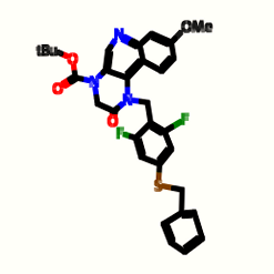 COc1ccc2c3c(cnc2c1)N(C(=O)OC(C)(C)C)CC(=O)N3Cc1c(F)cc(SCc2ccccc2)cc1F